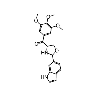 COc1cc(C(=O)C2COC(c3ccc4cc[nH]c4c3)N2)cc(OC)c1OC